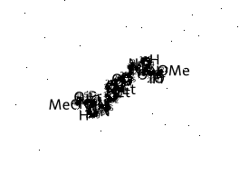 CCC1(CC)c2ccc(-c3cnc([C@@H]4CCCN4C(=O)[C@H](NC(=O)OC)C(C)C)[nH]3)cc2Oc2ccc3cc(-c4cnc([C@@H]5CCCN5C(=O)[C@@H](NC(=O)OC)C(C)C)[nH]4)ccc3c21